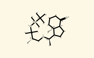 C[C@@H](OC[C@H](C)C(C)(C)O[Si](C)(C)C(C)(C)C)C1CCC2C(=O)CCC[C@@]21C